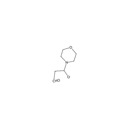 [O]C(CC=O)N1CCOCC1